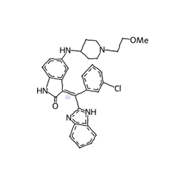 COCCN1CCC(Nc2ccc3c(c2)/C(=C(\c2cccc(Cl)c2)c2nc4ccccc4[nH]2)C(=O)N3)CC1